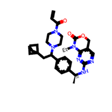 C=CC(=O)N1CCN(C(CC23CC(C2)C3)c2ccc([C@H](C)Nc3ncc4c(n3)N(CC)C(=O)OC4)cc2)CC1